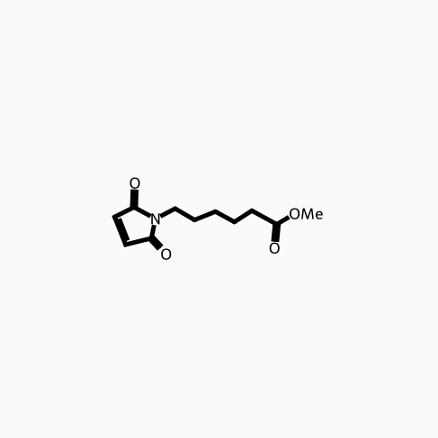 COC(=O)CCCCCN1C(=O)C=CC1=O